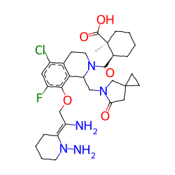 C[C@]1(C(=O)O)CCCC[C@H]1C(=O)N1CCc2c(Cl)cc(F)c(OC/C(N)=C3\CCCCN3N)c2C1CN1CC2(CC2)CC1=O